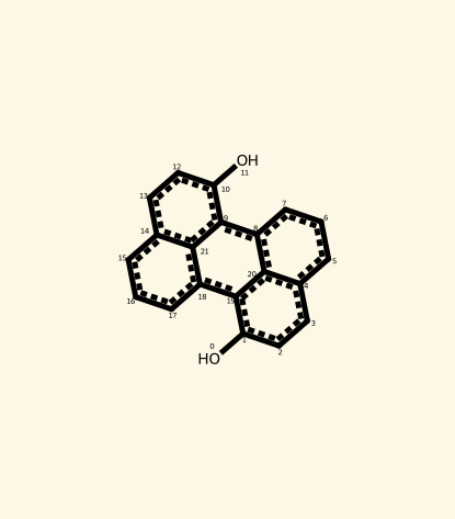 Oc1ccc2cccc3c4c(O)ccc5cccc(c1c23)c54